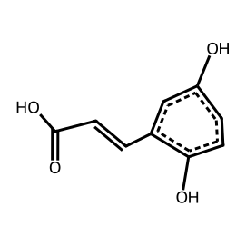 O=C(O)C=Cc1cc(O)ccc1O